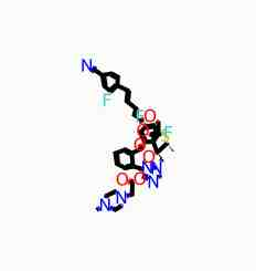 C[C@@H](S[C@H]1CO[C@H](/C=C/C=C/c2ccc(C#N)cc2F)OC1)[C@@](Cn1cncn1)(OC(=O)c1ccccc1COC(=O)CN1CCN(C)CC1)c1ccc(F)cc1F